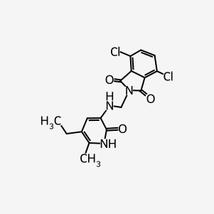 CCc1cc(NCN2C(=O)c3c(Cl)ccc(Cl)c3C2=O)c(=O)[nH]c1C